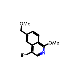 COCc1ccc2c(OC)ncc(C(C)C)c2c1